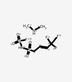 CNC.O=S(=O)(F)NS(=O)(=O)CC=CC(F)(F)F